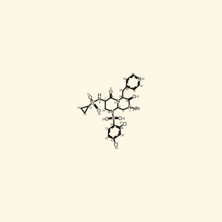 CC(C)N1CC2N(C(=O)C(NS(=O)(=O)C3CC3)CN2S(=O)(=O)c2ccc(Cl)cc2Cl)C(Cc2ccncc2)C1=O